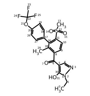 CCn1ncc(C(=O)c2ccc(S(C)(=O)=O)c(-c3ccc(OC(F)(F)F)cc3)c2C)c1O